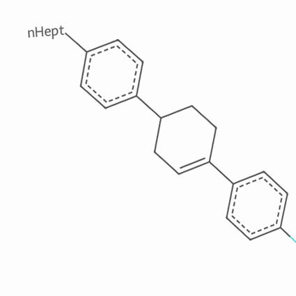 CCCCCCCc1ccc(C2CC=C(c3ccc(F)cc3)CC2)cc1